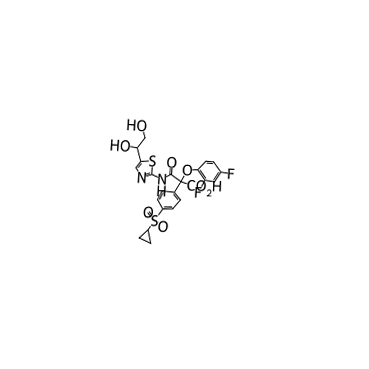 O=C(O)C(Oc1ccc(F)cc1F)(C(=O)Nc1ncc(C(O)CO)s1)c1ccc(S(=O)(=O)C2CC2)cc1